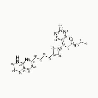 CCOC(=O)CC(c1cnc(C)nc1)N1CC(CCCCc2ccc3c(n2)NCCC3)C1